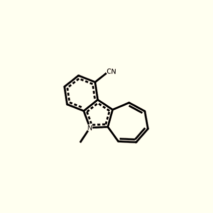 Cn1c2c(c3c(C#N)cccc31)C=CC=C=C2